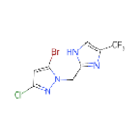 FC(F)(F)c1c[nH]c(Cn2nc(Cl)cc2Br)n1